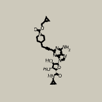 Nc1nc(C#CCC2CCN(C(=O)OCC3CC3)CC2)nc2c1ncn2[C@@H]1O[C@H](C(=O)NC2CC2)[C@H](O)C1O